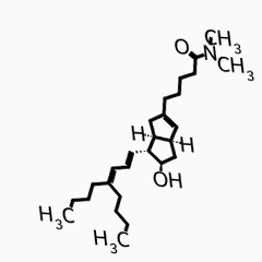 CCCCC(=C/C=C/[C@@H]1[C@H]2CC(CCCCC(=O)N(C)C)=C[C@H]2C[C@H]1O)CCCC